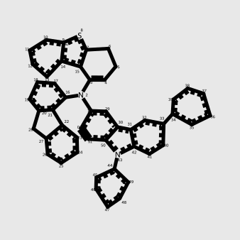 c1c(N(C2=CCCc3sc4ccccc4c32)c2cccc3c2-c2ccccc2C3)cc2c3cc(-c4ccccc4)ccc3n(-c3ccccc3)c2c#1